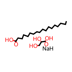 CCCCCCCCCCCCCCCCCC(=O)O.O=C(O)C(O)CO.[NaH]